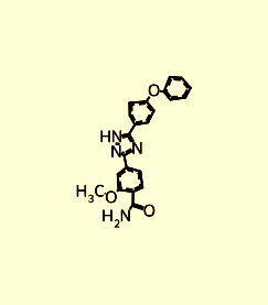 COc1cc(-c2n[nH]c(-c3ccc(Oc4ccccc4)cc3)n2)ccc1C(N)=O